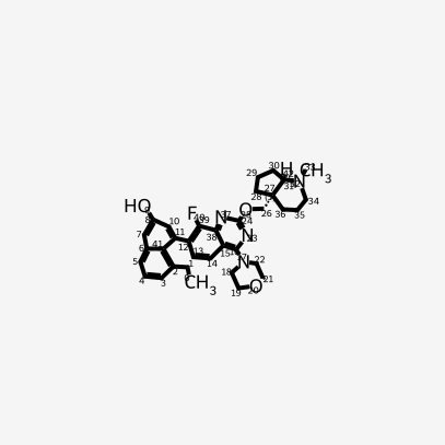 CCc1cccc2cc(O)cc(-c3ccc4c(N5CCOCC5)nc(OC[C@]56CCC[C@H]5N(C)CCC6)nc4c3F)c12